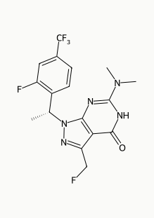 C[C@H](c1ccc(C(F)(F)F)cc1F)n1nc(CF)c2c(=O)[nH]c(N(C)C)nc21